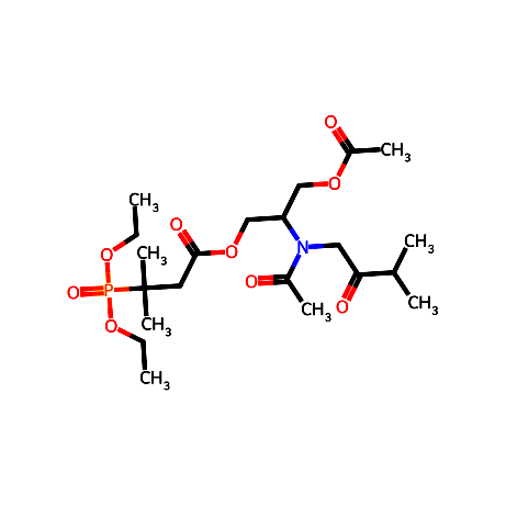 CCOP(=O)(OCC)C(C)(C)CC(=O)OCC(COC(C)=O)N(CC(=O)C(C)C)C(C)=O